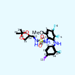 COc1cc(F)c(F)c(Nc2ccc(I)cc2F)c1NS(=O)(=O)NCC1COC(C)(C)O1